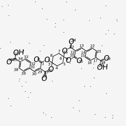 O=C1OC2(CCC3(CC2)OC(=O)C(=Cc2ccc(C(=O)O)cc2)C(=O)O3)OC(=O)C1=Cc1ccc(C(=O)O)cc1